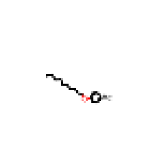 C=CCCCCCCCCOc1ccc(C(C)=O)cc1